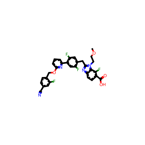 COCCn1c(Cc2cc(F)c(-c3cccc(OCc4ccc(C#N)cc4F)n3)cc2F)nc2ccc(C(=O)O)c(F)c21